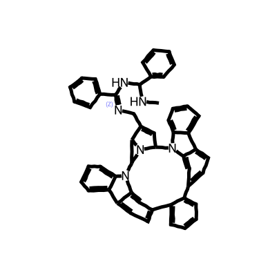 CNC(N/C(=N\CC1=CC2N3C1C3n1c3ccccc3c3ccc(cc31)-c1ccccc1-c1ccc3c4ccccc4n2c3c1)c1ccccc1)c1ccccc1